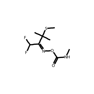 CNC(=O)ON=C(C(F)F)C(C)(C)SC